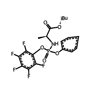 CC[C@@H](C)OC(=O)[C@H](C)NP(=O)(Oc1ccccc1)Oc1c(F)c(F)c(F)c(F)c1F